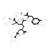 CCC(C)(CC(CC(CC(C)(C)C(=O)OC)C(=O)O)C(=O)NC(Cc1ccc(O)c(O)c1)C(=O)OC)C(=O)OC